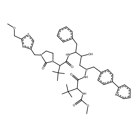 COCc1nc(CN2CCN(C(C(=O)NC(Cc3ccccc3)C(O)CN(Cc3ccc(-c4ccccn4)cc3)NC(=O)C(NC(=O)OC)C(C)(C)C)C(C)(C)C)C2=O)cs1